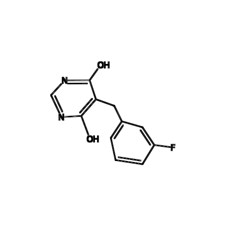 Oc1ncnc(O)c1Cc1cccc(F)c1